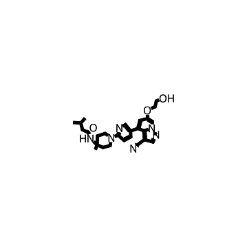 CC(C)CC(=O)NC1(C)CCN(c2ccc(-c3cc(OCCO)cn4ncc(C#N)c34)cn2)CC1